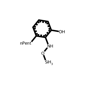 CCCCCc1cccc(O)c1NO[SiH3]